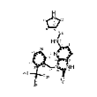 O=c1[nH]c2ccc(NC[C@@H]3CCNC3)nc2n1Cc1ccccc1C(F)(F)F